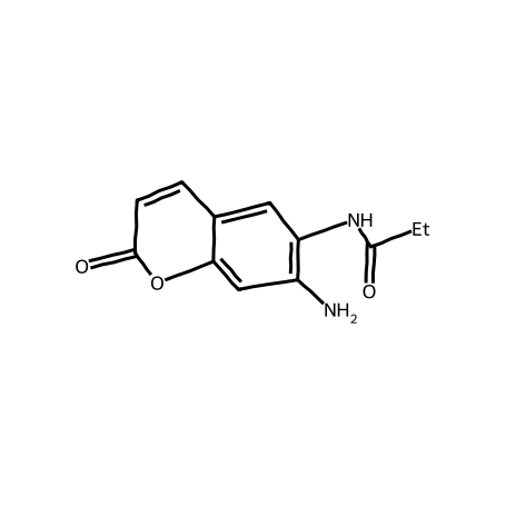 CCC(=O)Nc1cc2ccc(=O)oc2cc1N